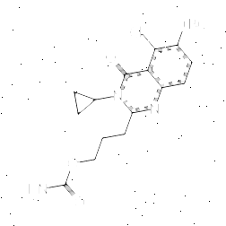 CC(C)(C)c1ccc2nc(CCCOC(N)=O)n(C3CC3)c(=O)c2c1Cl